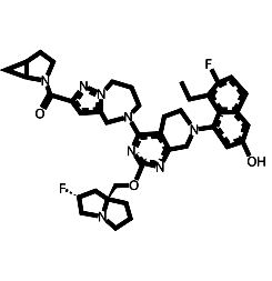 CCc1c(F)ccc2cc(O)cc(N3CCc4c(nc(OC[C@@]56CCCN5C[C@H](F)C6)nc4N4CCCn5nc(C(=O)N6CCC7CC76)cc5C4)C3)c12